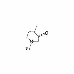 CCN1CCC(C)C(=O)C1